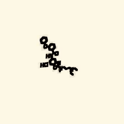 CCN(CC)CCCN(C)c1nc2cc(NC(=O)c3cccc(Oc4ccccc4)c3)ccc2o1.Cl